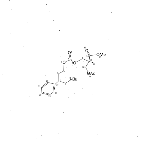 CCC(C)CC(CCOC(=O)OCC(C)(COC(C)=O)C(=O)OC)c1ccccc1